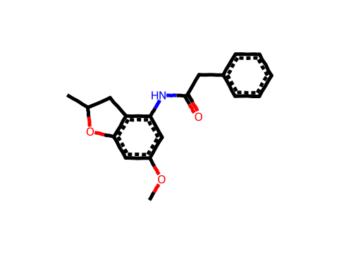 COc1cc(NC(=O)Cc2ccccc2)c2c(c1)OC(C)C2